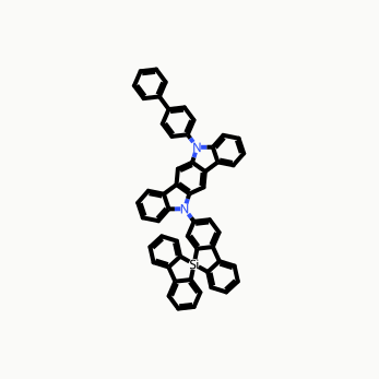 c1ccc(-c2ccc(-n3c4ccccc4c4cc5c(cc43)c3ccccc3n5-c3ccc4c(c3)[Si]3(c5ccccc5-c5ccccc53)c3ccccc3-4)cc2)cc1